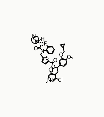 COc1ccc(C(Cc2c(Cl)c[n+](C)cc2Cl)OC(=O)c2ccc(CN(C(=O)O[C@H]3CN4CCC3CC4)c3ccccc3F)s2)cc1OCC1CC1